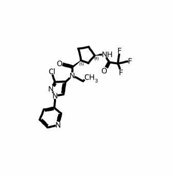 CCN(C(=O)[C@H]1CC[C@@H](NC(=O)C(F)(F)F)C1)c1cn(-c2cccnc2)nc1Cl